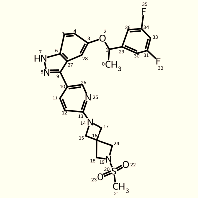 CC(Oc1ccc2[nH]nc(-c3ccc(N4CC5(C4)CN(S(C)(=O)=O)C5)nc3)c2c1)c1cc(F)cc(F)c1